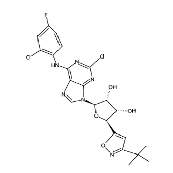 CC(C)(C)c1cc([C@H]2O[C@@H](n3cnc4c(Nc5ccc(F)cc5Cl)nc(Cl)nc43)[C@H](O)[C@@H]2O)on1